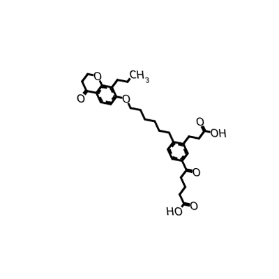 CCCc1c(OCCCCCCc2ccc(C(=O)CCCC(=O)O)cc2CCC(=O)O)ccc2c1OCCC2=O